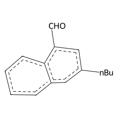 CCCCc1cc(C=O)c2ccccc2c1